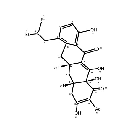 CCN(CC)Cc1ccc(O)c2c1C[C@H]1C[C@H]3CC(O)=C(C(C)=O)C(=O)[C@@]3(O)C(O)=C1C2=O